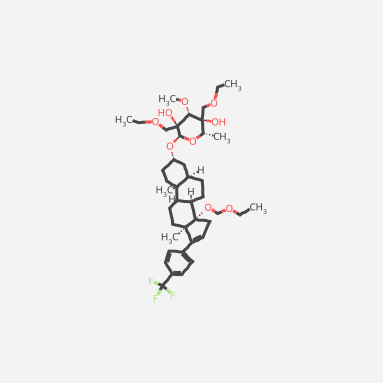 CCOCO[C@]12CC=C(c3ccc(C(F)(F)F)cc3)[C@@]1(C)CC[C@H]1[C@H]2CC[C@@H]2C[C@@H](O[C@@H]3O[C@@H](C)[C@@](O)(COCC)[C@@H](OC)[C@@]3(O)COCC)CC[C@@]21C